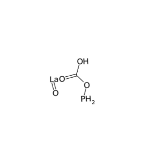 O=C(O)OP.[O]=[La]